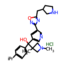 CC(C)c1ccc(C(O)(c2cncc(-c3noc(CC4CCNC4)n3)c2)C2(C)CN(C)C2)cc1.Cl